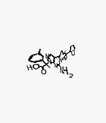 Cc1cccc(C(C)(C(=O)O)n2ncc3c2nc(N)n2nc(-c4ccco4)nc32)c1